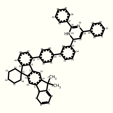 CC1(C)C2=CC=CCC2c2cc3c(cc21)-c1c(-c2ccc(-c4cccc(C5C=C(c6ccccc6)N=C(c6ccccc6)N5)c4)cc2)cccc1C31CCCCC1